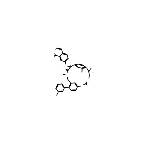 Cc1cccc(-c2ccc3cc2CN(C)C(=O)[C@H](Nc2ccc4cc[nH]c(=O)c4c2)c2ccc(c(C)c2)[C@@H](C)COC(=O)N3)c1